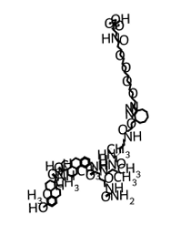 CN[C@H](CCCCNC(=O)COC1CCCCCc2c1nnn2CCOCCOCCOCCOCCC(=O)NCCS(=O)(=O)O)C(=O)N[C@H](C(=O)N[C@@H](CCCNC(N)=O)C(=O)Nc1ccc2c(c1)[C@@]1(C)CCC[C@](C)(C(=O)NC(=O)[C@@]3(C)CCC[C@]4(C)c5cc(O)ccc5CC[C@@H]34)[C@@H]1CC2)C(C)C